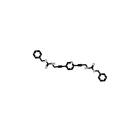 O=C(NCC#Cc1ccc(C#CCNC(=O)OCc2ccccc2)nc1)OCc1ccccc1